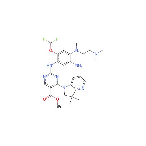 CC(C)OC(=O)c1cnc(Nc2cc(N)c(N(C)CCN(C)C)cc2OC(F)F)nc1N1CC(C)(C)c2ncccc21